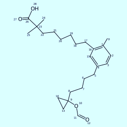 Cc1ccc(CCCCC2(OC=O)CC2)cc1CCCCCCC(C)(C)C(=O)O